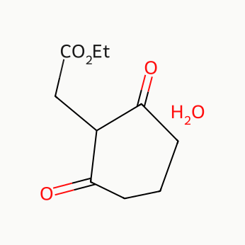 CCOC(=O)CC1C(=O)CCCC1=O.O